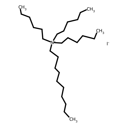 CCCCCCCCCC[N+](CCCCCC)(CCCCCC)CCCCCC.[I-]